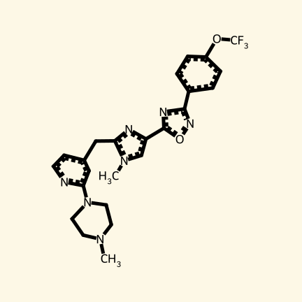 CN1CCN(c2cc(Cc3nc(-c4nc(-c5ccc(OC(F)(F)F)cc5)no4)cn3C)ccn2)CC1